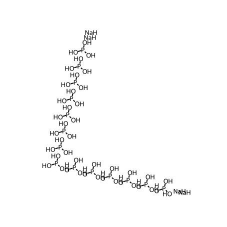 OP(O)O.OP(O)O.OP(O)O.OP(O)O.OP(O)O.OP(O)O.OP(O)O.OP(O)O.OP(O)O.OP(O)O.OP(O)O.OP(O)O.OP(O)O.OP(O)O.[NaH].[NaH].[NaH].[NaH]